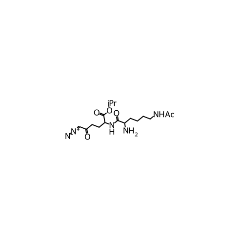 CC(=O)NCCCCC(N)C(=O)NC(CCC(=O)C=[N+]=[N-])C(=O)OC(C)C